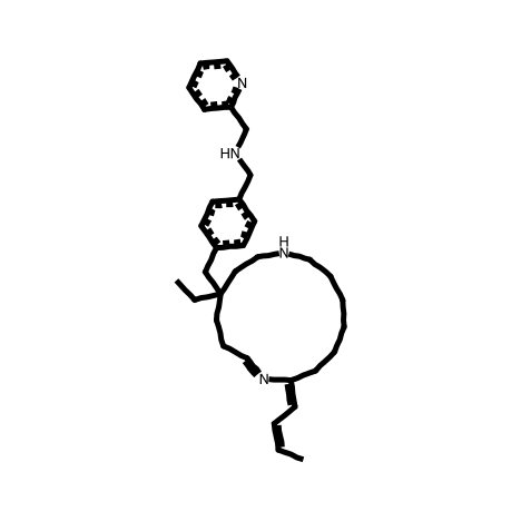 C\C=C/C=C1CCCCCCNCCC(CC)(Cc2ccc(CNCc3ccccn3)cc2)CC/C=N/1